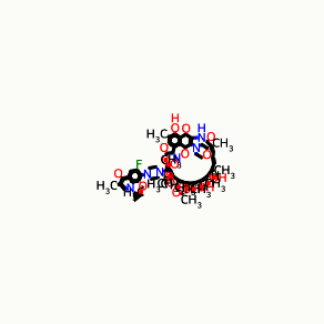 COc1c(N2CCN(C(=O)CO/N=C3/c4c5c(C)c(O)c6c4C(=O)C(N4CCOCC4)=C(NC(=O)/C(C)=C\C=C\[C@H](C)[C@H](O)[C@@H](C)[C@@H](O)[C@@H](C)[C@H](OC(C)=O)[C@H](C)[C@@H](OC)/C=C/O[C@@]3(C)O5)C6=O)C(C)C2)c(F)cc2c(=O)c(C)cn(C3CC3)c12